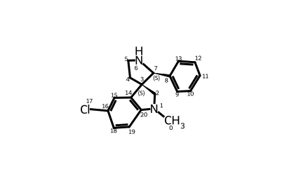 CN1C[C@]2(CCN[C@H]2c2ccccc2)c2cc(Cl)ccc21